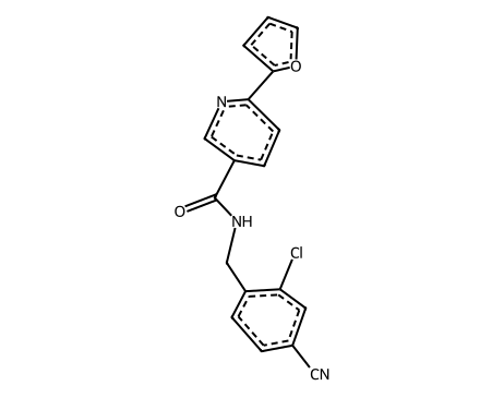 N#Cc1ccc(CNC(=O)c2ccc(-c3ccco3)nc2)c(Cl)c1